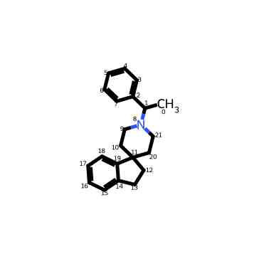 CC(c1ccccc1)N1CCC2(CCc3ccccc32)CC1